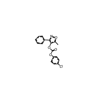 Cc1onc(-c2ccccc2)c1OC(=O)Oc1ccc(Cl)cc1